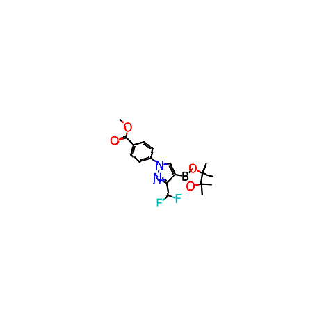 COC(=O)c1ccc(-n2cc(B3OC(C)(C)C(C)(C)O3)c(C(F)F)n2)cc1